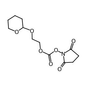 O=C(OCCOC1CCCCO1)ON1C(=O)CCC1=O